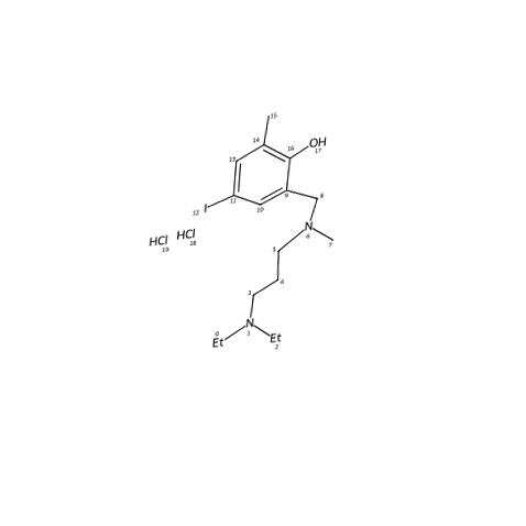 CCN(CC)CCCN(C)Cc1cc(I)cc(C)c1O.Cl.Cl